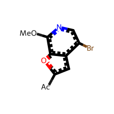 COc1ncc(Br)c2cc(C(C)=O)oc12